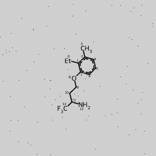 CCc1c(C)cccc1OCCC(N)C(F)(F)F